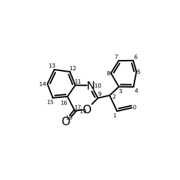 C=CC(c1ccccc1)c1nc2ccccc2c(=O)o1